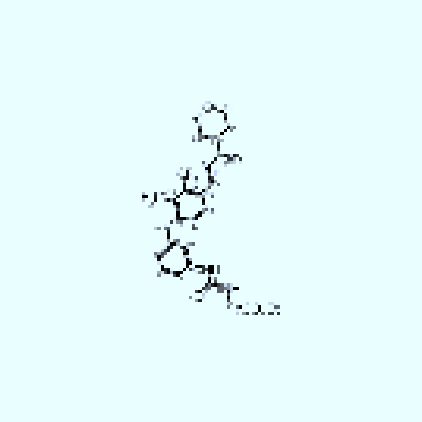 CCOC(=O)CNC(=O)Nc1cccc(Sc2ccc(/C=C/C(=O)N3CCOCC3)c(C(F)(F)F)c2C(F)(F)F)c1